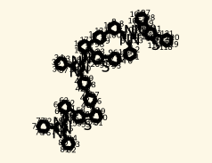 c1ccc(-c2nc(-c3cccc(-c4ccc(-c5cccc6c5c5cc7c(cc5n6-c5nc(-c6ccccc6)nc(-c6ccc(-c8ccc(-c9cccc%10sc%11cc%12c(cc%11c9%10)c9ccccc9n%12-c9nc(-c%10ccccc%10)nc(-c%10ccccc%10)n9)cc8)cc6)n5)sc5ccccc57)cc4)c3)nc(-n3c4ccccc4c4cc5c(cc43)sc3ccccc35)n2)cc1